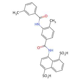 Cc1cccc(C(=O)Nc2cc(C(=O)Nc3ccc(S(=O)(=O)O)c4cccc(S(=O)(=O)O)c34)ccc2C)c1